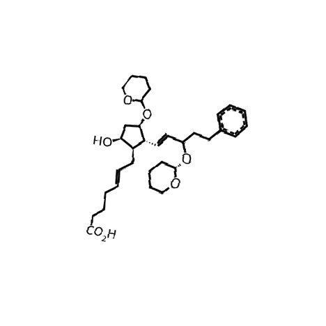 O=C(O)CCCC=CC[C@@H]1[C@@H](/C=C/C(CCc2ccccc2)O[C@H]2CCCCO2)[C@H](OC2CCCCO2)C[C@@H]1O